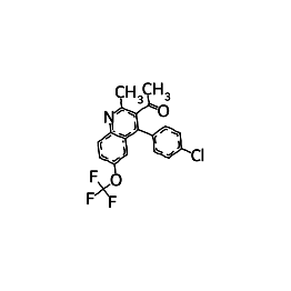 CC(=O)c1c(C)nc2ccc(OC(F)(F)F)cc2c1-c1ccc(Cl)cc1